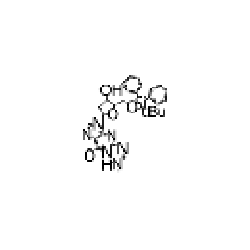 CN(C)/C=N\c1nc2c(ncn2[C@H]2CC(O)[C@@H](CO[Si](c3ccccc3)(c3ccccc3)C(C)(C)C)O2)c(=O)[nH]1